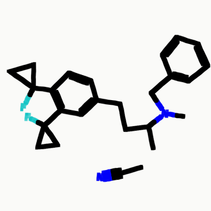 CC#N.CC(CCc1ccc(C2(F)CC2)c(C2(F)CC2)c1)N(C)Cc1ccccc1